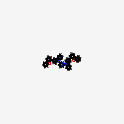 c1ccc2c(c1)oc1c(-c3ccc4c(c3)c3ccccc3n4-c3ccnc(-n4c5ccccc5c5cc(-c6cccc7c6oc6ccccc67)ccc54)n3)cccc12